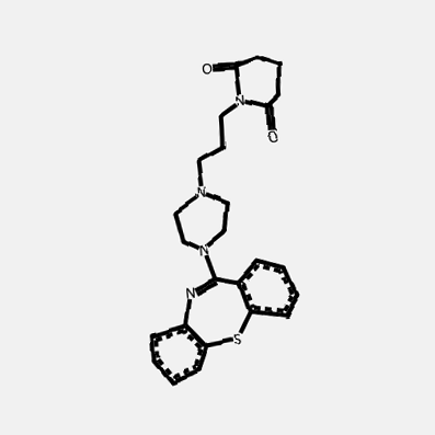 O=C1CCCC(=O)N1CCCN1CCN(C2=Nc3ccccc3Sc3ccccc32)CC1